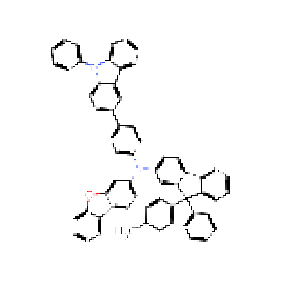 CC1C=CC(C2(c3ccccc3)c3ccccc3-c3ccc(N(c4ccc(-c5ccc6c(c5)c5ccccc5n6-c5ccccc5)cc4)c4ccc5c(c4)oc4ccccc45)cc32)=CC1